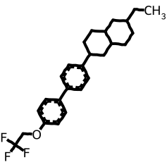 CCC1CCC2CC(c3ccc(-c4ccc(OCC(F)(F)F)cc4)cc3)CCC2C1